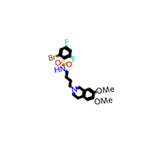 COc1cc2c(cc1OC)CN(CCCCNS(=O)(=O)c1c(F)cc(F)cc1Br)CC2